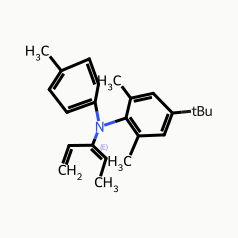 C=C/C(=C\C)N(c1ccc(C)cc1)c1c(C)cc(C(C)(C)C)cc1C